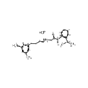 Cc1cc(N)nc(CCCCNCC(=O)Nc2ccccc2N(C)C)c1.Cl